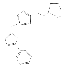 Cl.c1ccc(-c2ccc(Cc3ccc(OCC4CCCN4)cc3)s2)cc1